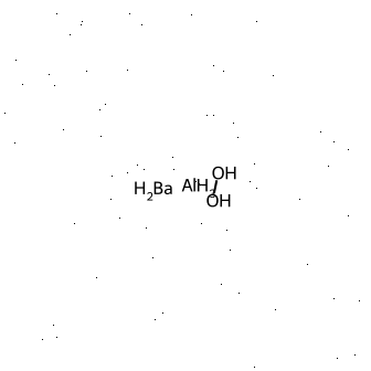 OO.[AlH3].[BaH2]